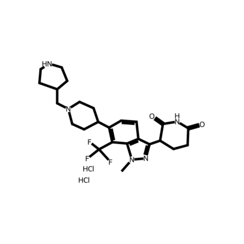 Cl.Cl.Cn1nc(C2CCC(=O)NC2=O)c2ccc(C3CCN(CC4CCNCC4)CC3)c(C(F)(F)F)c21